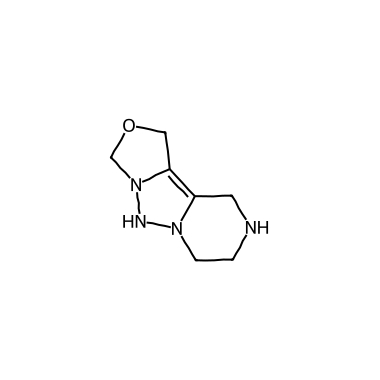 C1CN2NN3COCC3=C2CN1